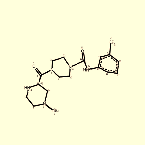 CC(C)(C)N1CCN[C@@H](C(=O)N2CCN(C(=O)Nc3cccc(C(F)(F)F)c3)CC2)C1